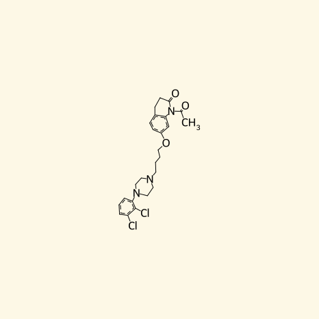 CC(=O)N1C(=O)CCc2ccc(OCCCCN3CCN(c4cccc(Cl)c4Cl)CC3)cc21